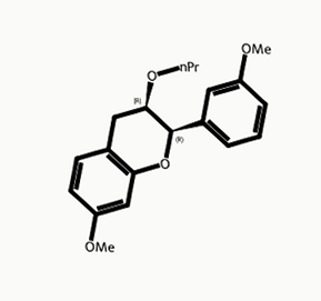 CCCO[C@@H]1Cc2ccc(OC)cc2O[C@@H]1c1cccc(OC)c1